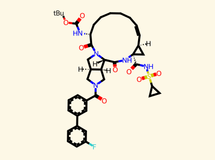 CC(C)(C)OC(=O)N[C@@H]1CCCCC/C=C\[C@H]2C[C@@]2(C(=O)NS(=O)(=O)C2CC2)NC(=O)[C@@H]2[C@H]3CN(C(=O)c4cccc(-c5cccc(F)c5)c4)C[C@H]3CN2C1=O